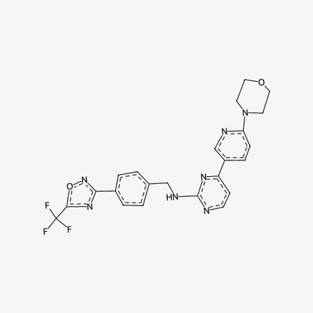 FC(F)(F)c1nc(-c2ccc(CNc3nccc(-c4ccc(N5CCOCC5)nc4)n3)cc2)no1